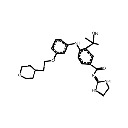 CC(C)(O)c1cc(C(=O)N=C2NCCN2)ccc1Nc1cccc(OCCC2CCOCC2)c1